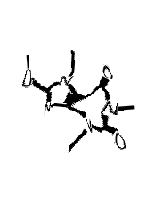 COc1nc2c(c(=O)n(C)c(=O)n2C)n1C